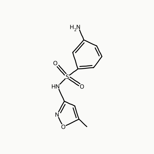 Cc1cc(NS(=O)(=O)c2cccc(N)c2)no1